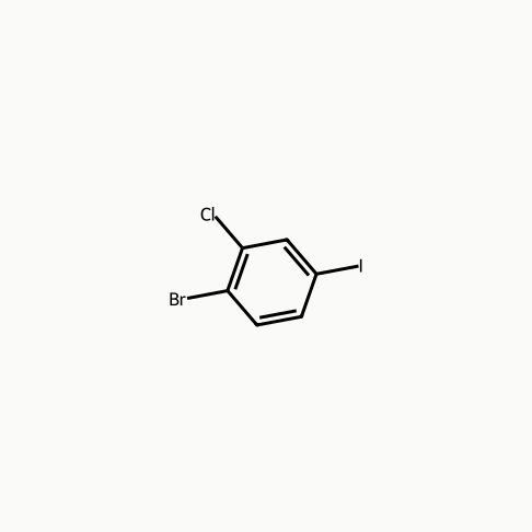 Clc1cc(I)ccc1Br